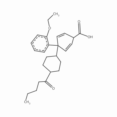 CCCCC(=O)C1CCC(C2(c3ccccc3OCC)C=CC(C(=O)O)C=C2)CC1